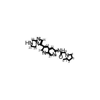 CC1CCCN1CC(=O)Nc1cc2cc(-c3cnc4n3CCNC4)cnc2cn1